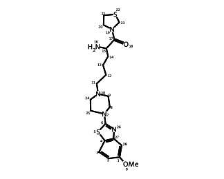 COc1ccc2sc(N3CCN(CCCCC(N)C(=O)N4CCSC4)CC3)nc2c1